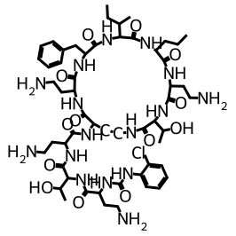 CCCC1NC(=O)C(C(C)CC)NC(=O)C(Cc2ccccc2)NC(=O)C(CCN)NC(=O)C(NC(=O)C(CCN)NC(=O)C(NC(=O)C(CCN)NC(=O)Nc2ccccc2Cl)C(C)O)CCNC(=O)C(C(C)O)NC(=O)C(CCN)NC1=O